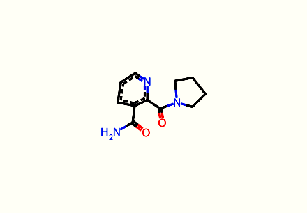 NC(=O)c1cccnc1C(=O)N1CCCC1